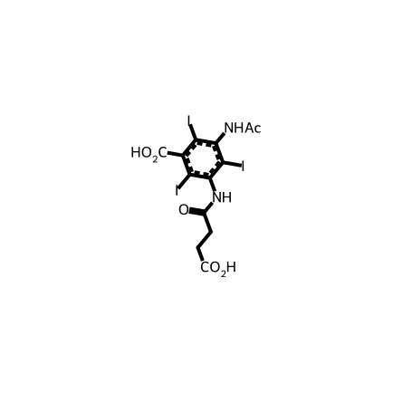 CC(=O)Nc1c(I)c(NC(=O)CCC(=O)O)c(I)c(C(=O)O)c1I